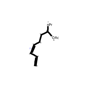 C=C/C=C\CCC(CCC)OC(C)=O